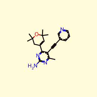 Cc1nc(N)nc(C2=CC(C)(C)OC(C)(C)C2)c1C#Cc1cccnc1